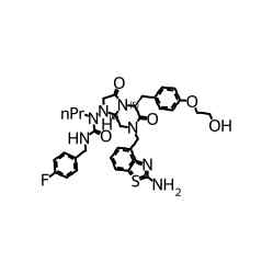 CCCN(C(=O)NCc1ccc(F)cc1)N1CC(=O)N2[C@@H](Cc3ccc(OCCO)cc3)C(=O)N(Cc3cccc4sc(N)nc34)C[C@@H]21